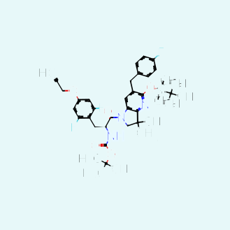 C#CCOc1cc(F)c(C[C@H](NC(=O)OC(C)(C)C)C(=O)N2CC(C)(C)c3nc(O[Si](C)(C)C(C)(C)C)c(Cc4ccc(F)cc4)cc32)c(F)c1